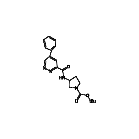 CC(C)(C)OC(=O)N1CCC(NC(=O)c2cc(-c3ccccc3)cnn2)C1